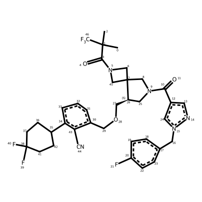 CC(C)(C(=O)N1CC2(CN(C(=O)c3cnn(Cc4ccc(F)cc4)c3)C[C@H]2COCc2cccc(C3CCC(F)(F)CC3)c2C#N)C1)C(F)(F)F